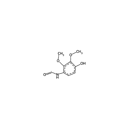 COc1c(O)ccc(N[C]=O)c1OC